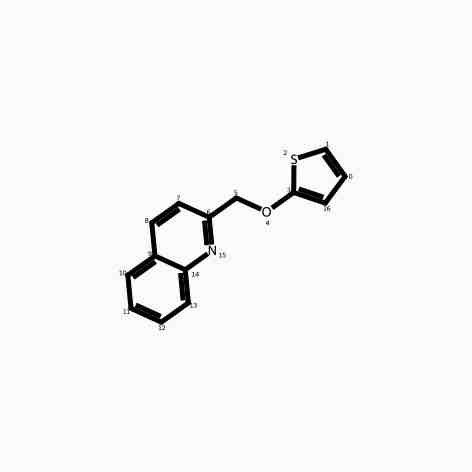 c1csc(OCc2ccc3ccccc3n2)c1